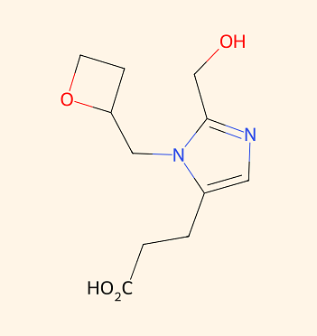 O=C(O)CCc1cnc(CO)n1CC1CCO1